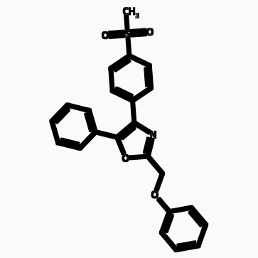 CS(=O)(=O)c1ccc(-c2nc(COc3ccccc3)oc2-c2ccccc2)cc1